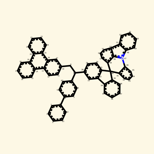 c1ccc(-c2ccc(C(Cc3ccc4c5ccccc5c5ccccc5c4c3)c3ccc4c(c3)-c3ccccc3C43c4ccccc4-n4c5ccccc5c5cccc3c54)cc2)cc1